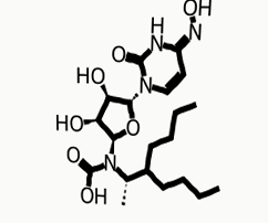 CCCCC(CCCC)[C@H](C)N(C(=O)O)[C@@H]1O[C@@H](n2cc/c(=N/O)[nH]c2=O)[C@H](O)[C@@H]1O